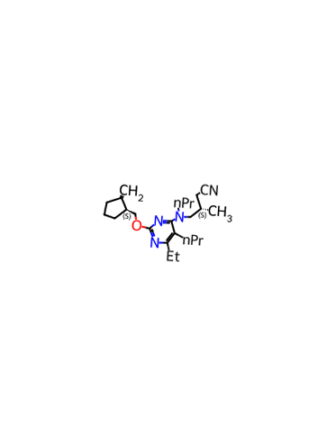 C=C1CCC[C@@H]1COc1nc(CC)c(CCC)c(N(CCC)C[C@@H](C)CC#N)n1